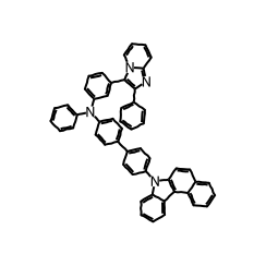 c1ccc(-c2nc3ccccn3c2-c2cccc(N(c3ccccc3)c3ccc(-c4ccc(-n5c6ccccc6c6c7ccccc7ccc65)cc4)cc3)c2)cc1